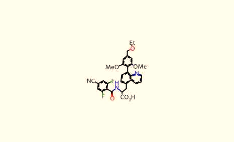 CCOCc1cc(OC)c(-c2ccc(CC(NC(=O)c3c(F)cc(C#N)cc3F)C(=O)O)c3cccnc23)c(OC)c1